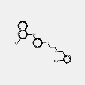 Cc1cc(Nc2cccc(OCCNCc3sccc3C)c2)c2ccccc2n1